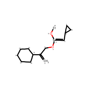 C=C(CO[Si](=CC1CC1)OCC)C1CCCCC1